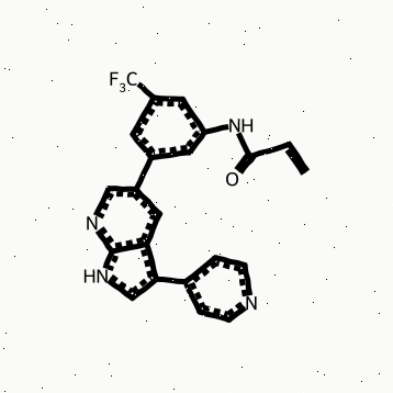 C=CC(=O)Nc1cc(-c2cnc3[nH]cc(-c4ccncc4)c3c2)cc(C(F)(F)F)c1